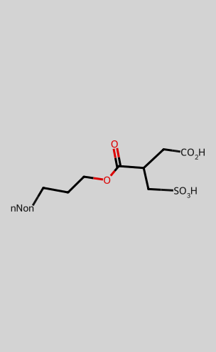 CCCCCCCCCCCCOC(=O)C(CC(=O)O)CS(=O)(=O)O